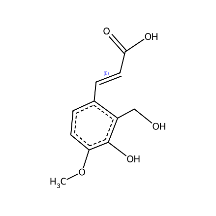 COc1ccc(/C=C/C(=O)O)c(CO)c1O